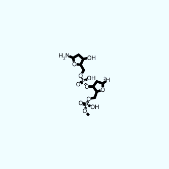 [2H]C1CC(OP(=O)(O)OCC2OC(N)CC2O)C(COP(=O)(O)OC)O1